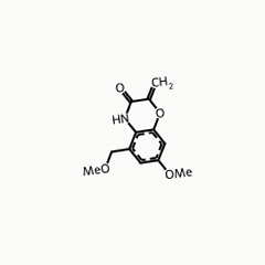 C=C1Oc2cc(OC)cc(COC)c2NC1=O